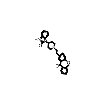 O=C1c2ccccc2COc2ccc(CCN3CCC(n4c(=O)[nH]c5ccccc54)CC3)cc21